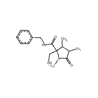 CC1C(=O)N(C)C(CO)(C(=O)NCc2ccccc2)C1C